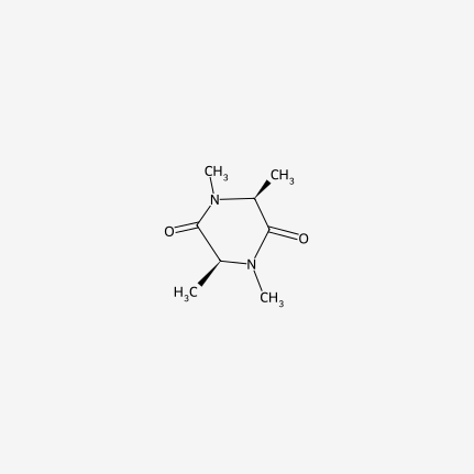 C[C@H]1C(=O)N(C)[C@@H](C)C(=O)N1C